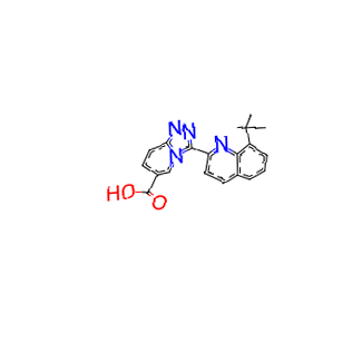 CC(C)(C)c1cccc2ccc(-c3nnc4ccc(C(=O)O)cn34)nc12